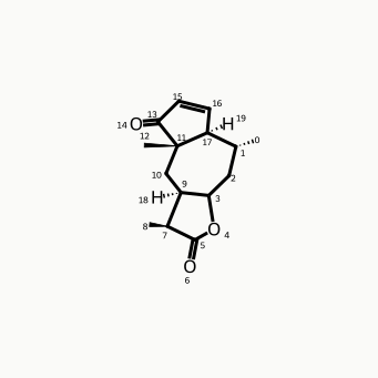 C[C@@H]1CC2OC(=O)[C@@H](C)[C@H]2C[C@]2(C)C(=O)C=C[C@@H]12